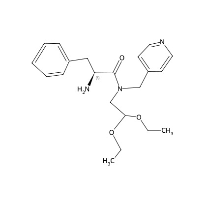 CCOC(CN(Cc1ccncc1)C(=O)[C@@H](N)Cc1ccccc1)OCC